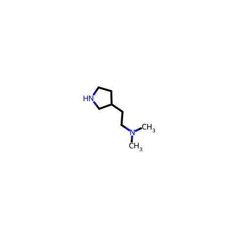 CN(C)CCC1CCNC1